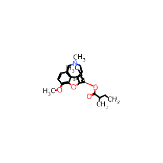 CC[C@@H](C)C(=O)O[C@H]1CCC(C)[C@@]23CCN(C)Cc4ccc(OC)c(c42)OC3C1